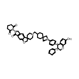 O=C1c2cc3c(cc2CN1N1C(=O)CCCC1=O)C1(CCN(CC2CCC4(CC2)CN(c2ccc([C@H]5c6ccc(O)cc6OC[C@H]5c5ccccc5)cc2)C4)CC1)CO3